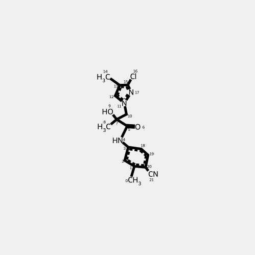 Cc1cc(NC(=O)C(C)(O)Cn2cc(C)c(Cl)n2)ccc1C#N